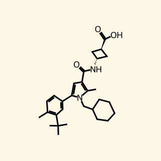 Cc1ccc(-c2cc(C(=O)N[C@H]3C[C@H](C(=O)O)C3)c(C)n2CC2CCCCC2)cc1C(C)(C)C